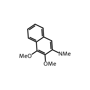 CNc1cc2ccccc2c(OC)c1OC